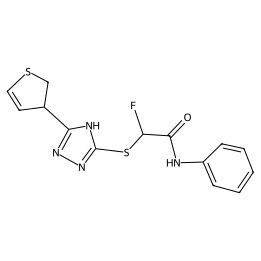 O=C(Nc1ccccc1)C(F)Sc1nnc(C2C=CSC2)[nH]1